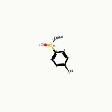 CO[S@@](=O)c1ccc(C#N)cc1